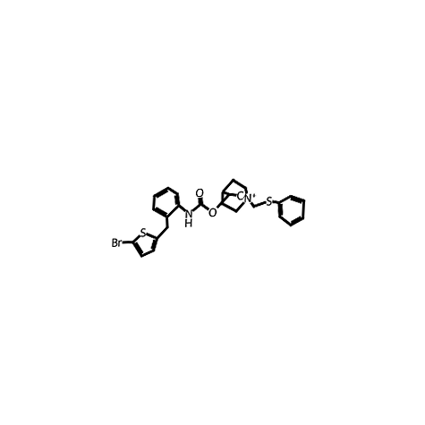 O=C(Nc1ccccc1Cc1ccc(Br)s1)OC1C[N+]2(CSc3ccccc3)CCC1CC2